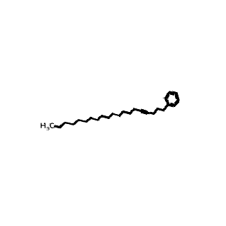 CCCCCCCCCCCCCCCC#CCCCc1[c]cccc1